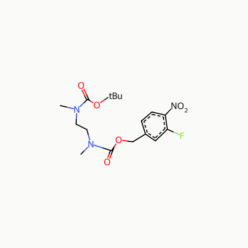 CN(CCN(C)C(=O)OC(C)(C)C)C(=O)OCc1ccc([N+](=O)[O-])c(F)c1